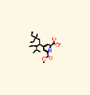 CCC(C(C)C)C(CC(C)(CC)CC)c1cc(C(=O)OC)nc(C(=O)OC)c1